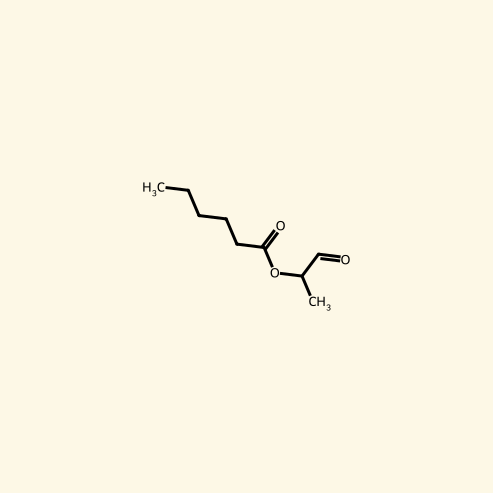 CCCCCC(=O)OC(C)C=O